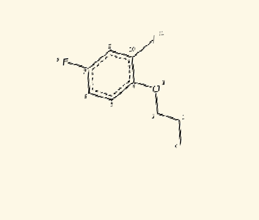 CCCOc1ccc(F)cc1I